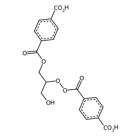 O=C(O)c1ccc(C(=O)OCC(CO)OOC(=O)c2ccc(C(=O)O)cc2)cc1